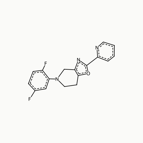 Fc1ccc(F)c(N2CCc3oc(-c4ccccn4)nc3C2)c1